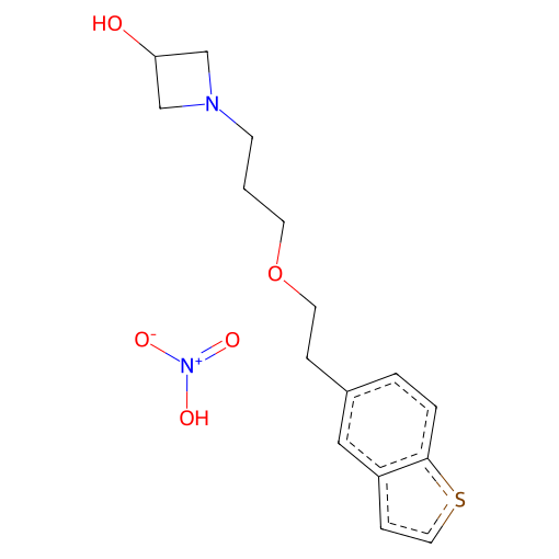 O=[N+]([O-])O.OC1CN(CCCOCCc2ccc3sccc3c2)C1